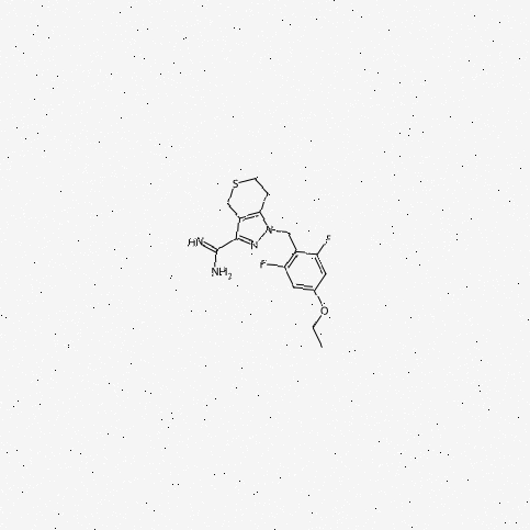 CCOc1cc(F)c(Cn2nc(C(=N)N)c3c2CCSC3)c(F)c1